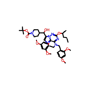 CCCC(C)Oc1nc(N(Cc2ccc(OC)cc2OC)Cc2ccc(OC)cc2OC)c2ncc(C(O)C3CCN(C(=O)OC(C)(C)C)CC3)n2n1